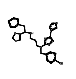 Oc1ccc(CN(CCCNC(Cc2ccccc2)C2=COCO2)c2nc(-n3ccnc3)ns2)cc1